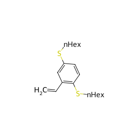 C=Cc1cc(SCCCCCC)ccc1SCCCCCC